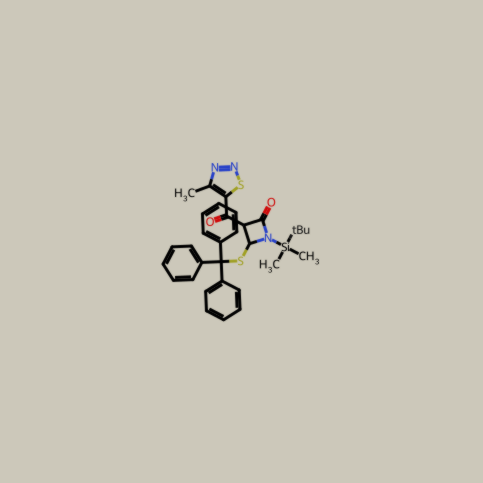 Cc1nnsc1C(=O)C1C(=O)N([Si](C)(C)C(C)(C)C)C1SC(c1ccccc1)(c1ccccc1)c1ccccc1